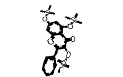 C[Si](C)(C)Oc1cc(O[Si](C)(C)C)c2c(=O)c(O[Si](C)(C)C)c(-c3ccccc3)oc2c1